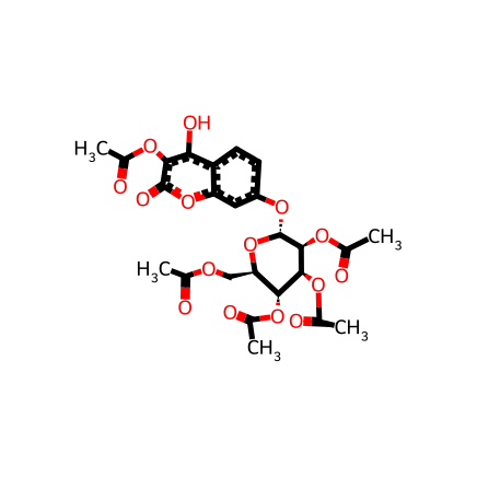 CC(=O)OC[C@H]1O[C@H](Oc2ccc3c(O)c(OC(C)=O)c(=O)oc3c2)[C@@H](OC(C)=O)[C@@H](OC(C)=O)[C@@H]1OC(C)=O